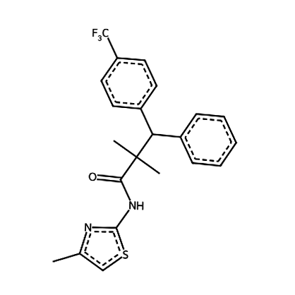 Cc1csc(NC(=O)C(C)(C)C(c2ccccc2)c2ccc(C(F)(F)F)cc2)n1